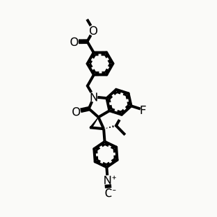 [C-]#[N+]c1ccc([C@@]2(C(C)C)C[C@]23C(=O)N(Cc2cccc(C(=O)OC)c2)c2ccc(F)cc23)cc1